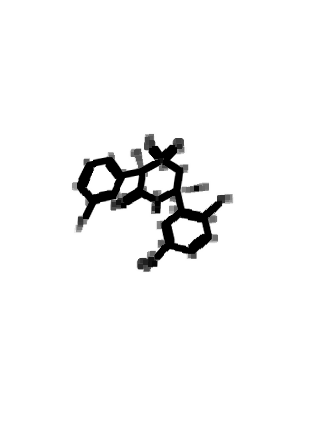 C[C@@]1(c2cccc(F)c2)C(=N)N[C@](C)(c2cc([N+](=O)[O-])ccc2F)CS1(=O)=O